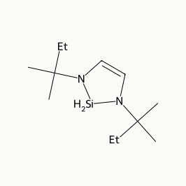 CCC(C)(C)N1C=CN(C(C)(C)CC)[SiH2]1